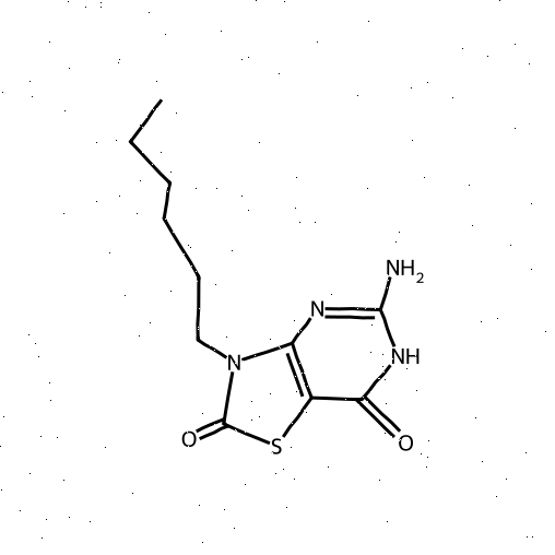 CCCCCCn1c(=O)sc2c(=O)[nH]c(N)nc21